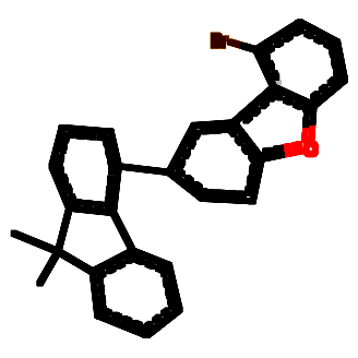 CC1(C)c2ccccc2-c2c(-c3ccc4oc5cccc(Br)c5c4c3)cccc21